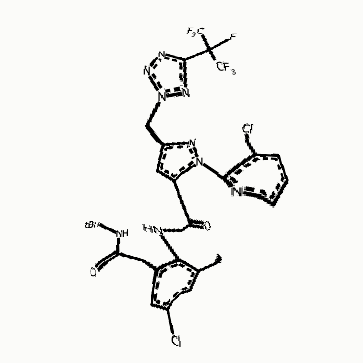 Cc1cc(Cl)cc(C(=O)NC(C)(C)C)c1NC(=O)c1cc(Cn2nnc(C(F)(C(F)(F)F)C(F)(F)F)n2)nn1-c1ncccc1Cl